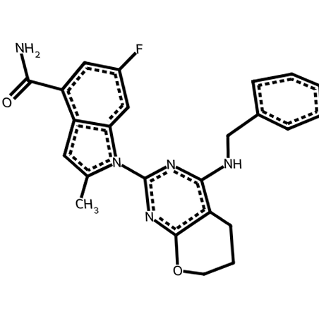 Cc1cc2c(C(N)=O)cc(F)cc2n1-c1nc(NCc2ccccc2)c2c(n1)OCCC2